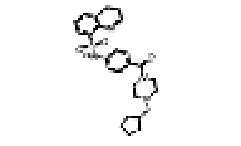 O=C(c1ccc(NS(=O)(=O)c2cccc3c2N=CCC3)cc1)N1CCN(CC2CCCC2)CC1